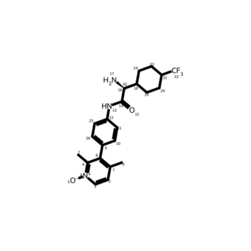 Cc1cc[n+]([O-])c(C)c1-c1ccc(NC(=O)[C@@H](N)C2CCC(C(F)(F)F)CC2)cc1